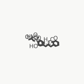 CC1(C)C(=O)C=CC=C1CCCc1ccc(N2CC(C=O)NS2(=O)=O)c(O)c1